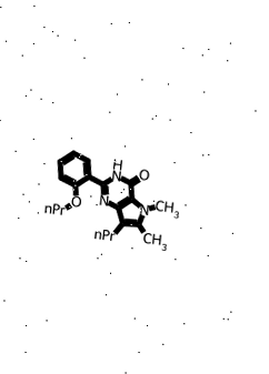 CCCOc1ccccc1-c1nc2c(CCC)c(C)n(C)c2c(=O)[nH]1